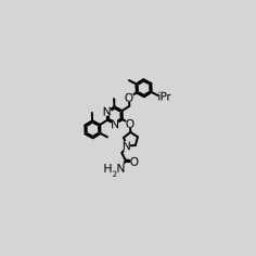 Cc1ccc(C(C)C)cc1OCc1c(C)nc(-c2c(C)cccc2C)nc1OC1CCN(CC(N)=O)C1